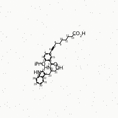 CC(C)Oc1ccc(C#CCCCCCCC(=O)O)cc1C(=O)NC(CO)Cc1c[nH]c2ccccc12